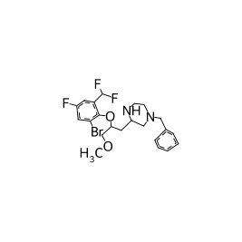 COCC(CC1CN(Cc2ccccc2)CCN1)Oc1c(Br)cc(F)cc1C(F)F